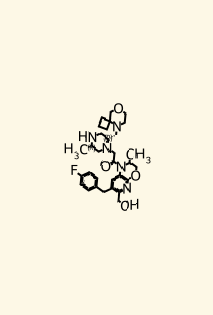 CC1COc2nc(CO)c(Cc3ccc(F)cc3)cc2N1C(=O)CN1C[C@@H](C)NC[C@@H]1CN1CCOCC12CCC2